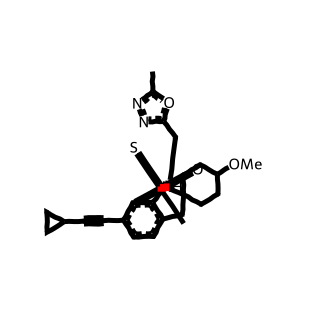 COC1CCC2(CC1)Cc1ccc(C#CC3CC3)cc1C21NC(=S)N(Cc2nnc(C)o2)C1=O